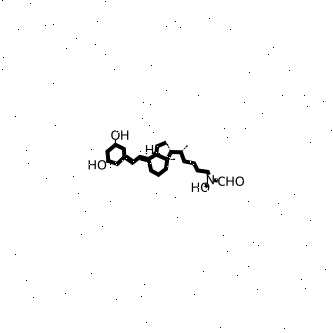 C[C@H](CCCCN(O)C=O)[C@H]1CC[C@H]2/C(=C/C=C3C[C@@H](O)C[C@H](O)C3)CCC[C@]12C